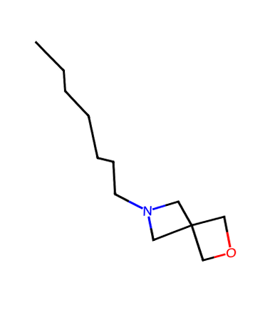 CCCCCCCN1CC2(COC2)C1